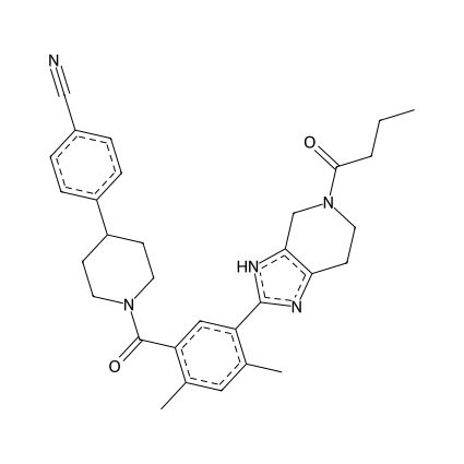 CCCC(=O)N1CCc2nc(-c3cc(C(=O)N4CCC(c5ccc(C#N)cc5)CC4)c(C)cc3C)[nH]c2C1